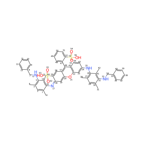 Cc1cc(C)c(NCc2ccccc2)c(C)c1/N=c1/cc2oc3cc(Nc4c(C)cc(C)c(NCc5ccccc5)c4C)ccc3c(-c3ccccc3S(=O)(=O)O)c-2cc1S(=O)(=O)O